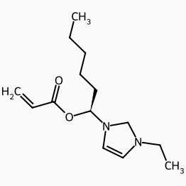 C=CC(=O)O[C@@H](CCCCC)N1C=CN(CC)C1